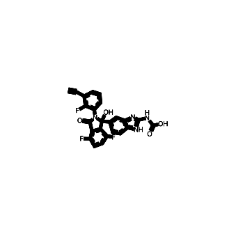 C#Cc1cccc(N2C(=O)c3c(F)ccc(F)c3C2(O)c2ccc3[nH]c(NC(=O)O)nc3c2)c1F